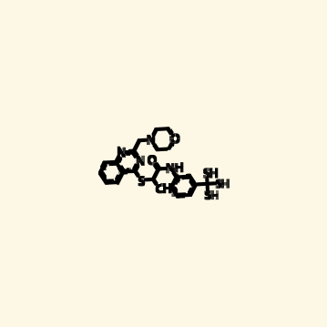 CC(Sc1nc(CN2CCOCC2)nc2ccccc12)C(=O)Nc1cccc(C(S)(S)S)c1